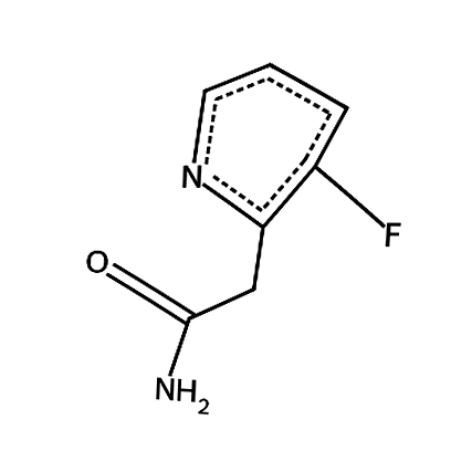 NC(=O)Cc1ncccc1F